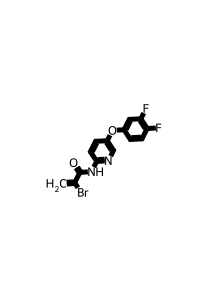 C=C(Br)C(=O)Nc1ccc(Oc2ccc(F)c(F)c2)cn1